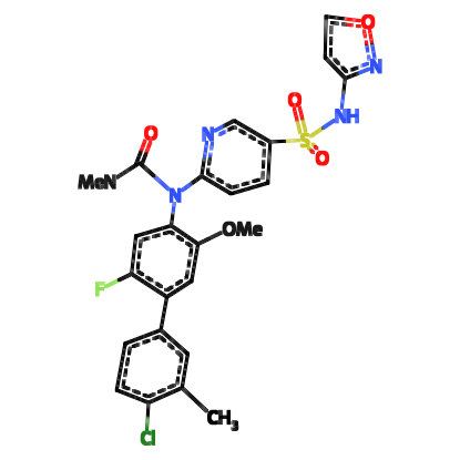 CNC(=O)N(c1ccc(S(=O)(=O)Nc2ccon2)cn1)c1cc(F)c(-c2ccc(Cl)c(C)c2)cc1OC